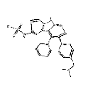 CCS(=O)(=O)Nc1ccc2[nH]c3ncc(-c4ccc(CN(C)C)cc4)c(-c4ccccc4)c3c2c1